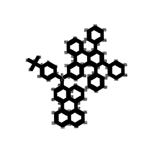 CC(C)(C)c1ccc(N(c2ccc3c(c2)c2ccccc2c2c(-c4ccccc4)cc(C4=CCCC=C4)c(-c4ccccc4)c32)c2ccc3c4cccc5cccc(c6cccc2c63)c54)cc1